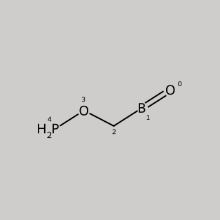 O=BCOP